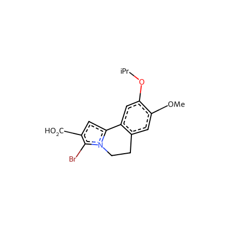 COc1cc2c(cc1OC(C)C)-c1cc(C(=O)O)c(Br)n1CC2